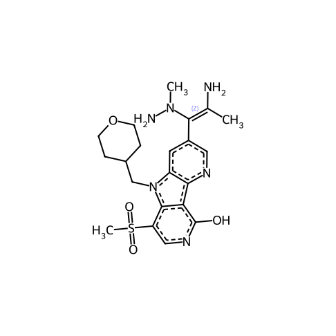 C/C(N)=C(\c1cnc2c3c(O)ncc(S(C)(=O)=O)c3n(CC3CCOCC3)c2c1)N(C)N